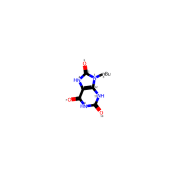 CCCCn1c(=O)[nH]c2c(=O)[nH]c(=O)[nH]c21